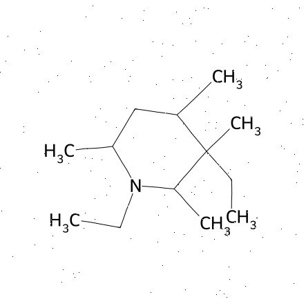 CCN1C(C)CC(C)C(C)(CC)C1C